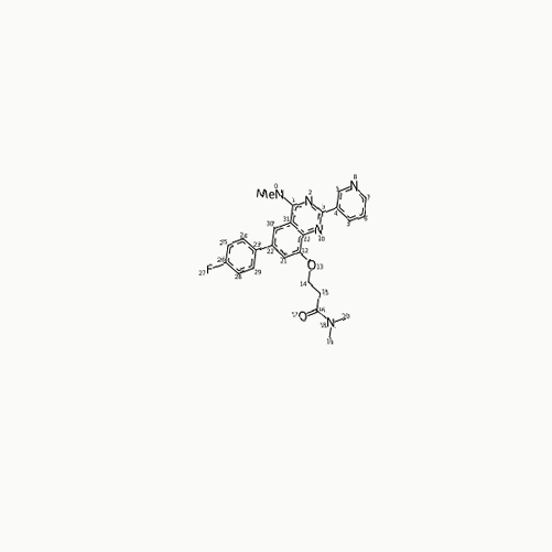 CNc1nc(-c2cccnc2)nc2c(OCCC(=O)N(C)C)cc(-c3ccc(F)cc3)cc12